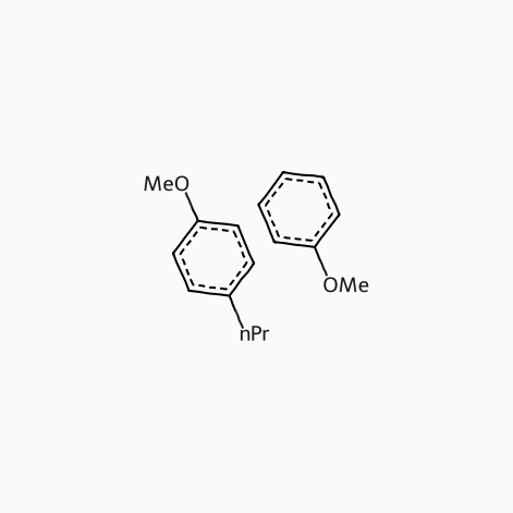 CCCc1ccc(OC)cc1.COc1ccccc1